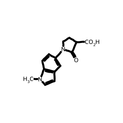 Cn1ccc2cc(N3CCC(C(=O)O)C3=O)ccc21